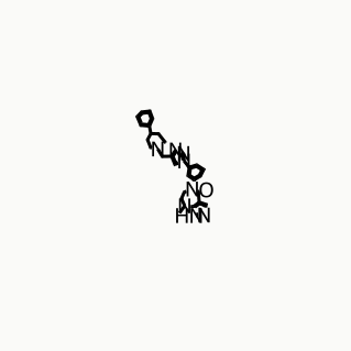 CN1CCN(c2cccc(-n3cc(CN4CCC(c5ccccc5)CC4)nn3)c2)C(=O)c2cn[nH]c21